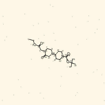 CCOC(=O)CN1CCN(C2CCN(C(=O)OC(C)(C)C)CC2)CC1=O